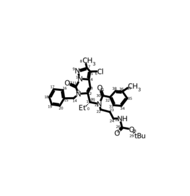 CC[C@H](c1cc2c(Cl)c(C)nn2c(=O)n1Cc1ccccc1)N(CCCNC(=O)OC(C)(C)C)C(=O)c1cccc(C)c1